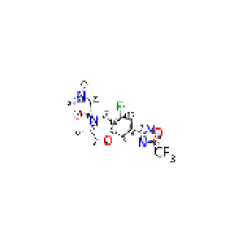 C[C@H]1COc2cc(-c3noc(C(F)(F)F)n3)cc(F)c2CN1C(=O)CN(C)C